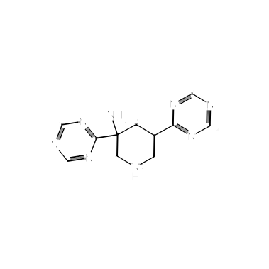 NC1(c2ncncn2)CNCC(c2ncncn2)C1